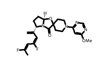 C=C(/C=C(F)\C=C(/C)F)[C@@H]1CC[C@H]2OC3(CCN(c4cc(OC)ncn4)CC3)C(=O)N21